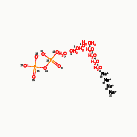 O.O.O.O.O.O.O.O.O.O=P([O-])([O-])OP(=O)([O-])[O-].[Na+].[Na+].[Na+].[Na+]